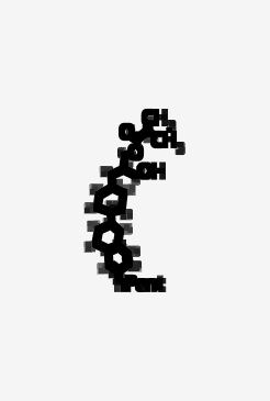 C=C(C)C(=O)OCC(CO)CC1CCC(C2CCc3cc(CCCCC)ccc3C2)CC1